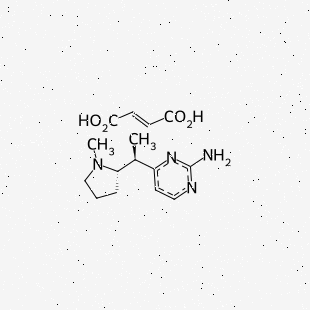 C[C@@H](c1ccnc(N)n1)[C@@H]1CCCN1C.O=C(O)/C=C/C(=O)O